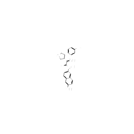 C[Si@H](C(=O)C(=N)[C@H]1CNC[C@@H]1c1ccc(C(F)(F)F)cc1)c1ccc2cc(O)ccc2c1